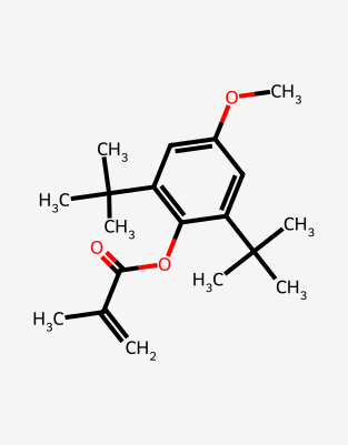 C=C(C)C(=O)Oc1c(C(C)(C)C)cc(OC)cc1C(C)(C)C